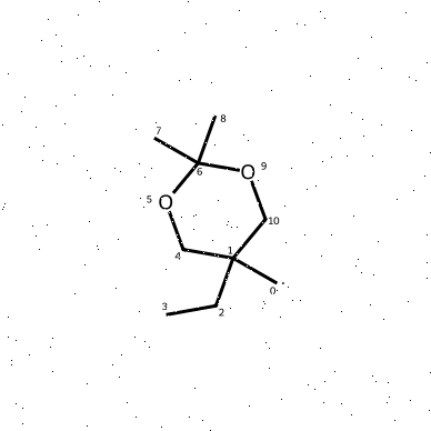 [CH2]C1(CC)COC(C)(C)OC1